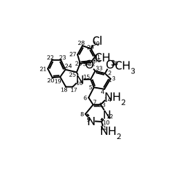 COc1[c]cc(Cc2cnc(N)nc2N)c(N2CCc3ccccc3C2c2ccc(Cl)cc2)c1OC